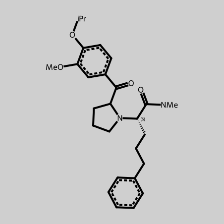 CNC(=O)[C@H](CCCc1ccccc1)N1CCCC1C(=O)c1ccc(OC(C)C)c(OC)c1